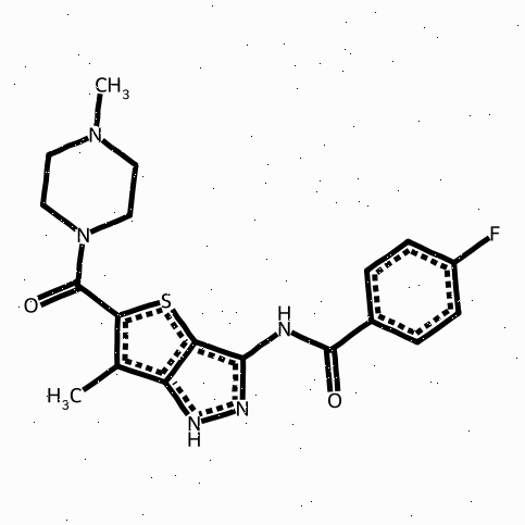 Cc1c(C(=O)N2CCN(C)CC2)sc2c(NC(=O)c3ccc(F)cc3)n[nH]c12